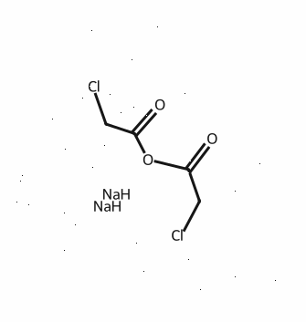 O=C(CCl)OC(=O)CCl.[NaH].[NaH]